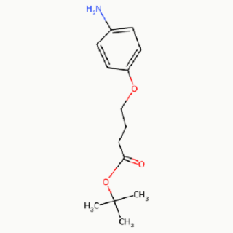 CC(C)(C)OC(=O)CCCOc1ccc(N)cc1